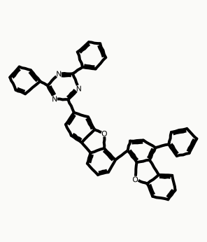 c1ccc(-c2nc(-c3ccccc3)nc(-c3ccc4c(c3)oc3c(-c5ccc(-c6ccccc6)c6c5oc5ccccc56)cccc34)n2)cc1